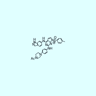 CC(=O)N1CCN(c2ccc(Nc3nc(Nc4ccc5cn[nH]c5c4)c4ccn(S(=O)(=O)c5ccc(C)cc5)c4n3)cc2)CC1